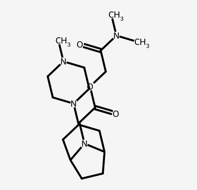 CN1CCN(C2CC3CCC(C2)N3CC(=O)OCC(=O)N(C)C)CC1